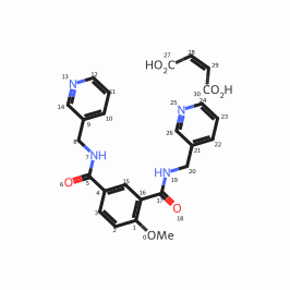 COc1ccc(C(=O)NCc2cccnc2)cc1C(=O)NCc1cccnc1.O=C(O)/C=C\C(=O)O